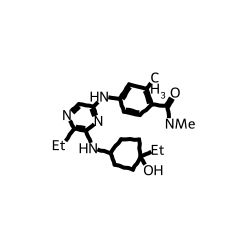 CCc1ncc(Nc2ccc(C(=O)NC)c(C)c2)nc1NC1CCC(O)(CC)CC1